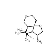 CC(C)[C@H]1COCC[C@]12OC[C@@H](C)N2C(C)C